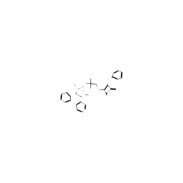 C=C1C(=O)C(NCC(C)(C)OP2N(C)[C@H](c3ccccc3)[C@@H](c3ccccc3)N2C)=C1Nc1ccccc1